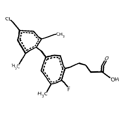 Cc1cc(-c2c(C)cc(Cl)cc2C)cc(CCC(=O)O)c1F